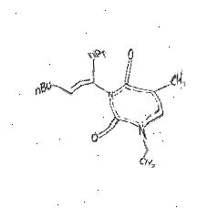 CCCCC=C(CCC)n1c(=O)c(C)cn(C)c1=O